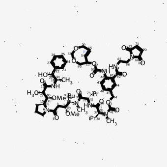 CC[C@H](C)[C@@H]([C@@H](CC(=O)N1CCC[C@H]1[C@H](OC)[C@@H](C)C(=O)N[C@H](C)[C@@H](O)c1ccccc1)OC)N(C)C(=O)[C@@H](NC(=O)[C@H](C(C)C)N(C)C(=O)OCc1ccc(NC(=O)OC2/C=C/COCOC2)c(C(=O)NCCN2C(=O)C=CC2=O)c1)C(C)C